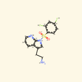 NCCc1cn(S(=O)(=O)c2ccc(F)cc2F)c2ncccc12